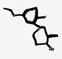 CCOc1ccc(F)c(N2CCC(O)C(C)C2)c1